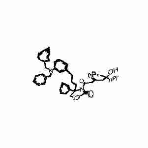 CCCC(O)(CCC)CC(=O)CC(=O)N1C(=O)OCC1(CCCc1cccc(N(Cc2ccccc2)Cc2ccccc2)c1)c1ccccc1